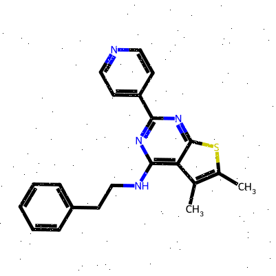 Cc1sc2nc(-c3ccncc3)nc(NCCc3ccccc3)c2c1C